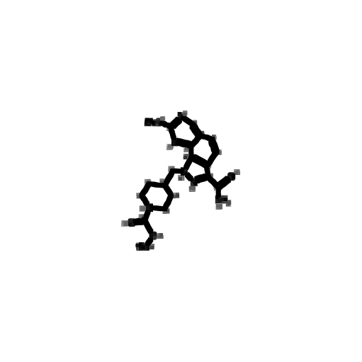 CSc1ncc2ccc3c(C(N)=O)nn(CC4CCN(C(=O)OC(C)(C)C)CC4)c3c2n1